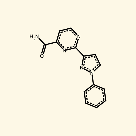 NC(=O)c1ccnc(-c2ccn(-c3ccccc3)n2)n1